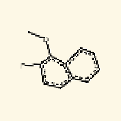 COc1c(F)ccc2ccccc12